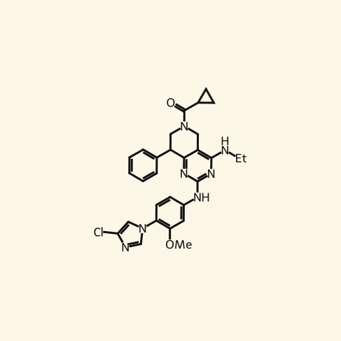 CCNc1nc(Nc2ccc(-n3cnc(Cl)c3)c(OC)c2)nc2c1CN(C(=O)C1CC1)CC2c1ccccc1